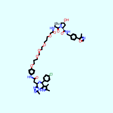 Cc1ncoc1-c1ccc(CNC(=O)[C@@H]2C[C@@H](O)CN2C(=O)C(NC(=O)COCCCOCCOCOCCCOc2ccc(NC(=O)CC3N=C(c4ccc(Cl)cc4)c4c([nH]c(C)c4C)-n4c(C)nnc43)cc2)C(C)(C)C)cc1